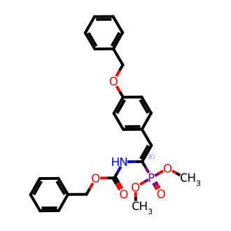 COP(=O)(OC)/C(=C/c1ccc(OCc2ccccc2)cc1)NC(=O)OCc1ccccc1